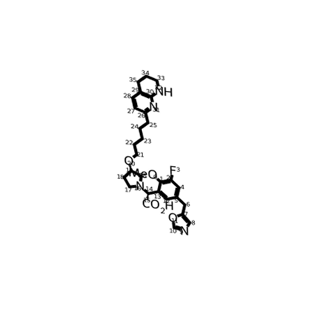 COc1c(F)cc(Cc2cnco2)cc1[C@@H](C(=O)O)N1CC[C@@H](OCCCCCc2ccc3c(n2)NCCC3)C1